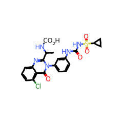 CC(NC(=O)O)c1nc2cccc(Cl)c2c(=O)n1-c1cccc(NC(=O)NS(=O)(=O)C2CC2)c1